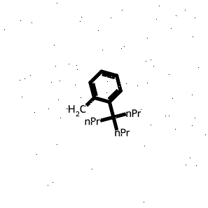 [CH2]c1ccccc1C(CCC)(CCC)CCC